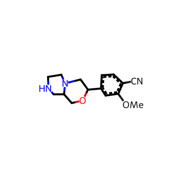 COc1cc(C2CN3CCNCC3CO2)ccc1C#N